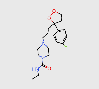 CCNC(=O)N1CCN(CCCC2(c3ccc(F)cc3)CCOO2)CC1